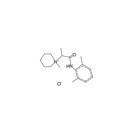 Cc1cccc(C)c1NC(=O)C(C)[N+]1(C)CCCCC1.[Cl-]